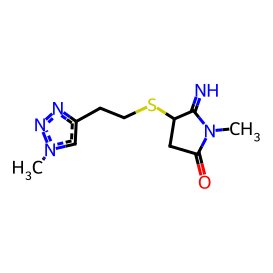 CN1C(=N)C(SCCc2cn(C)nn2)CC1=O